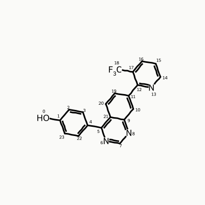 Oc1ccc(-c2ncnc3cc(-c4ncccc4C(F)(F)F)ccc23)cc1